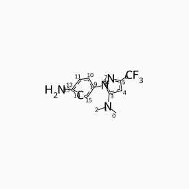 CN(C)c1cc(C(F)(F)F)nn1-c1ccc(N)cc1